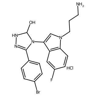 Cl.NCCCn1cc(N2C(c3ccc(Br)cc3)=NNC2O)c2cc(F)ccc21